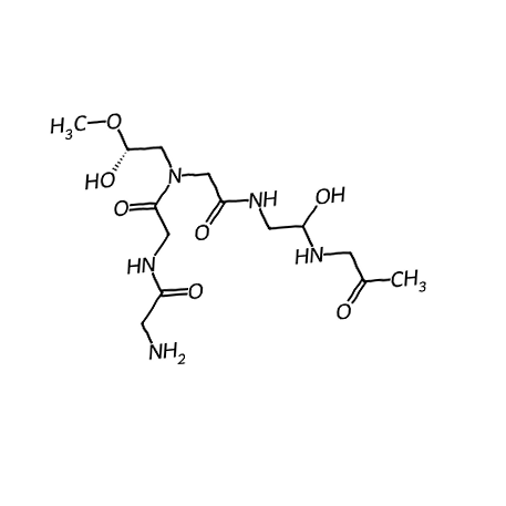 CO[C@@H](O)CN(CC(=O)NCC(O)NCC(C)=O)C(=O)CNC(=O)CN